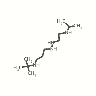 CC(C)NCCNNCCCNC(C)(C)C